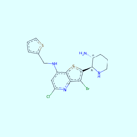 N[C@@H]1CCCN[C@H]1c1sc2c(NCc3cccs3)cc(Cl)nc2c1Br